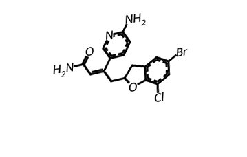 NC(=O)C=C(CC1Cc2cc(Br)cc(Cl)c2O1)c1ccc(N)nc1